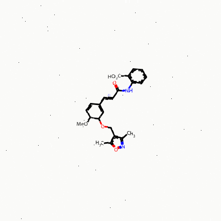 COC1C=CC(/C=C/C(=O)Nc2ccccc2C(=O)O)=CC1OCc1c(C)noc1C